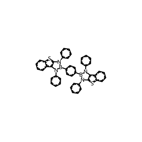 c1ccc(N2B(c3ccc(B4N(c5ccccc5)c5sc6ccccc6c5N4c4ccccc4)cc3)N(c3ccccc3)c3c2sc2ccccc32)cc1